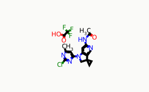 CC(=O)Nc1cc2c(cn1)C1(CC1)CN2c1cc(C)nc(Cl)n1.O=C(O)C(F)(F)F